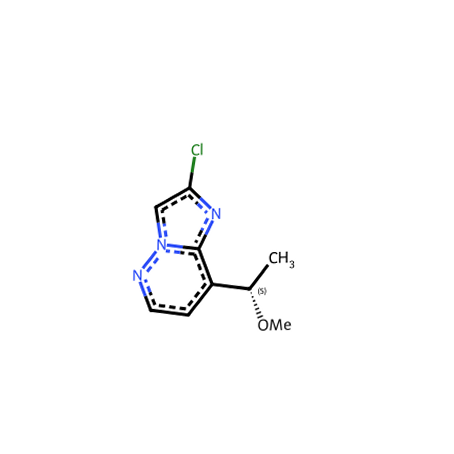 CO[C@@H](C)c1ccnn2cc(Cl)nc12